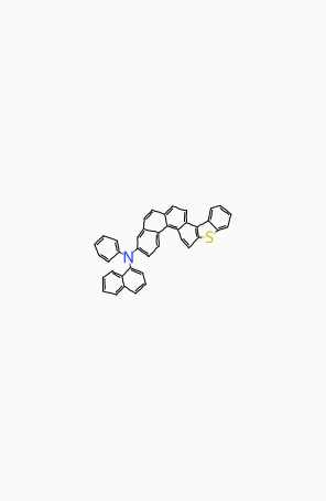 c1ccc(N(c2ccc3c(ccc4ccc5c(ccc6sc7ccccc7c65)c43)c2)c2cccc3ccccc23)cc1